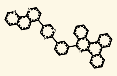 c1cc(-c2ncc(-c3ccnc4c3ccc3cccnc34)cn2)cc(-c2nc3c4ccccc4c4ccccc4c3c3ccccc23)c1